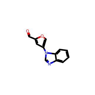 O=Cc1cc(-n2cnc3ccccc32)co1